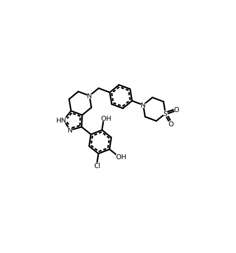 O=S1(=O)CCN(c2ccc(CN3CCc4[nH]nc(-c5cc(Cl)c(O)cc5O)c4C3)cc2)CC1